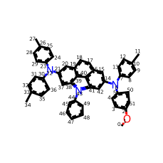 COc1ccc(N(c2ccc(C)cc2)c2cc3ccc4cc(N(c5ccc(C)cc5)c5ccc(C)cc5)cc5c4c3c(c2)n5-c2ccccc2)cc1